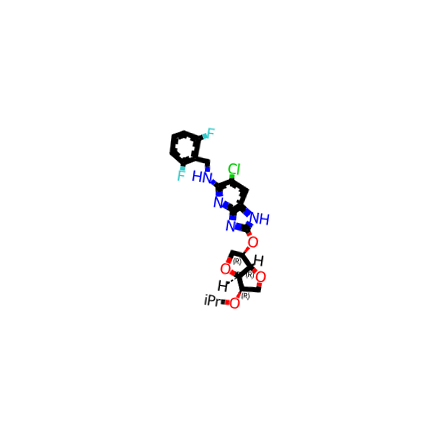 CC(C)O[C@@H]1CO[C@H]2[C@@H]1OC[C@H]2Oc1nc2nc(NCc3c(F)cccc3F)c(Cl)cc2[nH]1